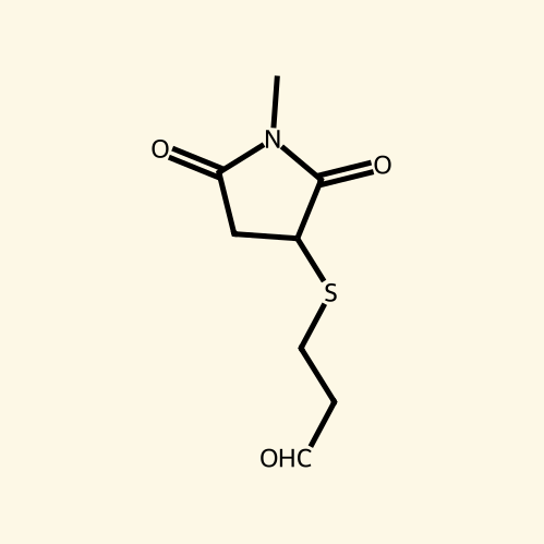 CN1C(=O)CC(SCCC=O)C1=O